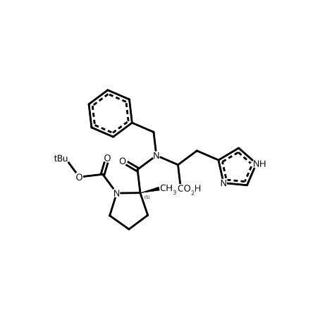 CC(C)(C)OC(=O)N1CCC[C@@]1(C)C(=O)N(Cc1ccccc1)C(Cc1c[nH]cn1)C(=O)O